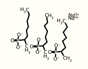 CCCCCCC(C)P(=O)([O-])[O-].CCCCCCC(C)P(=O)([O-])[O-].CCCCCCC(C)P(=O)([O-])[O-].[Nd+3].[Nd+3]